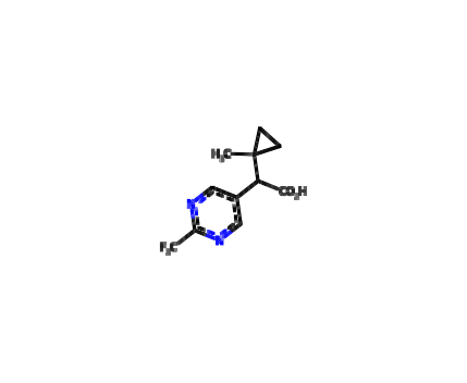 CC1(C(C(=O)O)c2cnc(C(F)(F)F)nc2)CC1